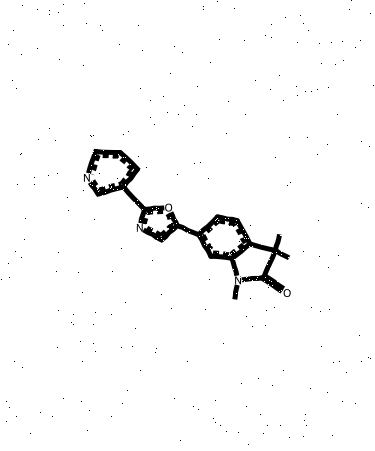 CN1C(=O)C(C)(C)c2ccc(-c3cnc(-c4cccnc4)o3)cc21